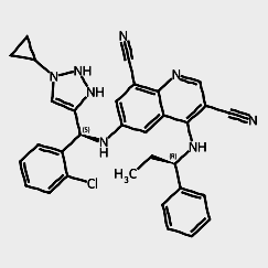 CC[C@@H](Nc1c(C#N)cnc2c(C#N)cc(N[C@H](C3=CN(C4CC4)NN3)c3ccccc3Cl)cc12)c1ccccc1